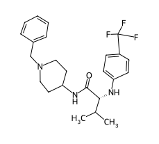 CC(C)[C@@H](Nc1ccc(C(F)(F)F)cc1)C(=O)NC1CCN(Cc2ccccc2)CC1